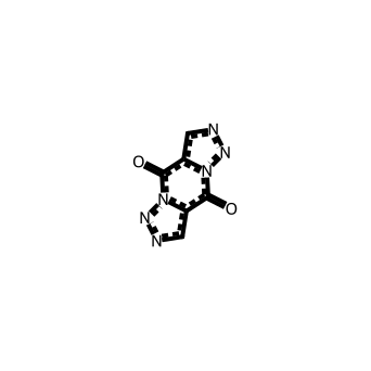 O=c1c2cnnn2c(=O)c2cnnn12